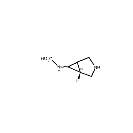 O=C(O)NC1C2CNC[C@@H]21